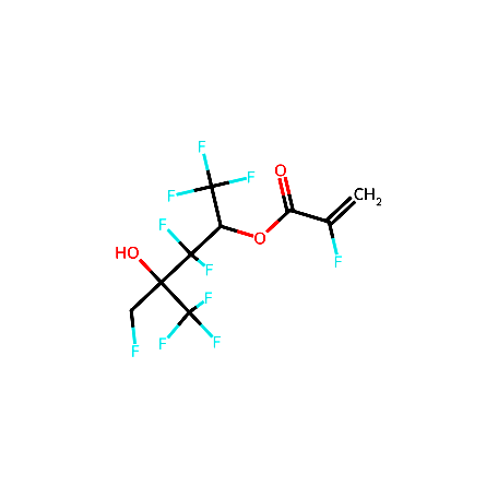 C=C(F)C(=O)OC(C(F)(F)F)C(F)(F)C(O)(CF)C(F)(F)F